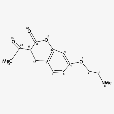 CNCCOc1ccc2c(c1)OC(=O)C(C(=O)OC)C2